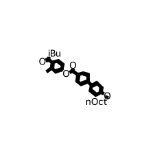 CCCCCCCCOc1ccc(-c2ccc(C(=O)Oc3ccc(C(=O)C(C)CC)c(C)c3)cc2)cc1